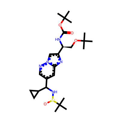 CC(C)(C)OC[C@H](NC(=O)OC(C)(C)C)c1cn2ncc(C(N[S+]([O-])C(C)(C)C)C3CC3)cc2n1